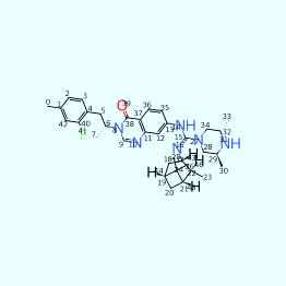 Cc1ccc(C[C@@H](C)n2cnc3cc(NC(=N[C@H]4C[C@H]5C[C@@H]([C@@H]4C)C5(C)C)N4C[C@H](C)N[C@@H](C)C4)ccc3c2=O)c(F)c1